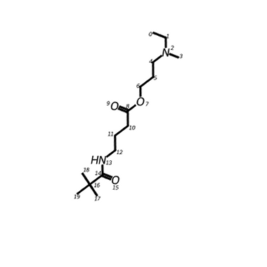 CCN(C)CCCOC(=O)CCCNC(=O)C(C)(C)C